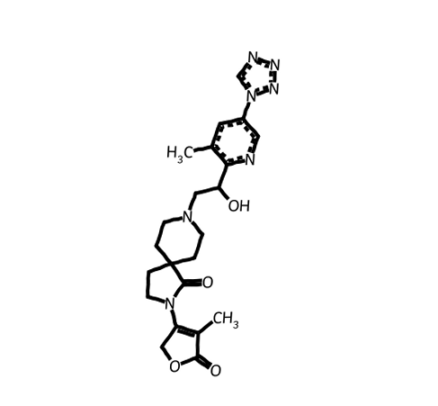 CC1=C(N2CCC3(CCN(CC(O)c4ncc(-n5cnnn5)cc4C)CC3)C2=O)COC1=O